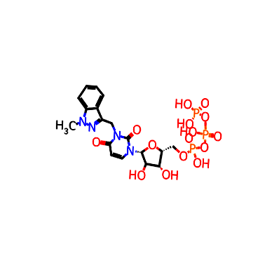 Cn1nc(Cn2c(=O)ccn([C@@H]3O[C@H](COP(=O)(O)OP(=O)(O)OP(=O)(O)O)[C@H](O)C3O)c2=O)c2ccccc21